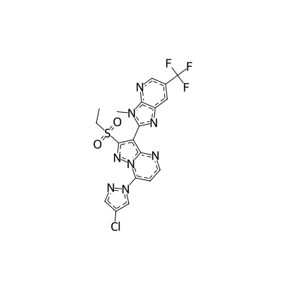 CCS(=O)(=O)c1nn2c(-n3cc(Cl)cn3)ccnc2c1-c1nc2cc(C(F)(F)F)cnc2n1C